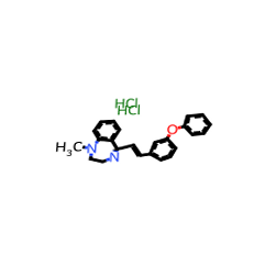 CN1CCN=C(C=Cc2cccc(Oc3ccccc3)c2)c2ccccc21.Cl.Cl